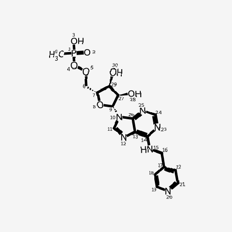 CP(=O)(O)OOC[C@H]1O[C@@H](n2cnc3c(NCc4ccncc4)ncnc32)[C@H](O)[C@@H]1O